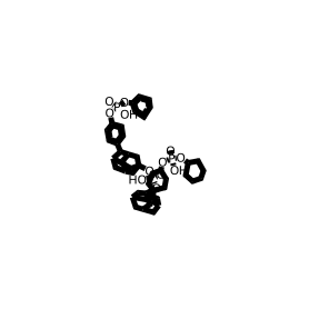 O=P(O)(Oc1ccccc1)Oc1ccc(C2C3CC4CC2CC(OP(=O)(O)OC25CC6CC(C2)C(C2CCC(OP(=O)(O)OC7CCCCC7)CC2)C(C6)C5)(C4)C3)cc1